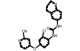 N#Cc1cc(Oc2ccc(NC(=O)Nc3ccc4ncccc4c3)c(Cl)c2)ccn1